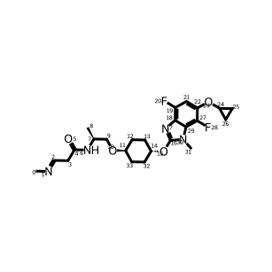 C/N=C/CC(=O)N[C@@H](C)CO[C@H]1CC[C@H](Oc2nc3c(F)cc(OC4CC4)c(F)c3n2C)CC1